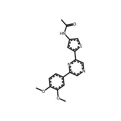 COc1ccc(-c2cncc(-c3cc(NC(C)=O)cs3)n2)cc1OC